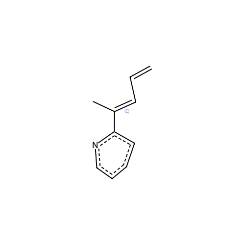 C=C/C=C(\C)c1ccccn1